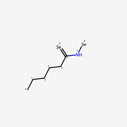 CCCCCC(=[Se])N[Se]